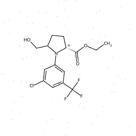 CCOC(=O)[C@H]1CCC(CO)N1c1cc(Cl)cc(C(F)(F)F)c1